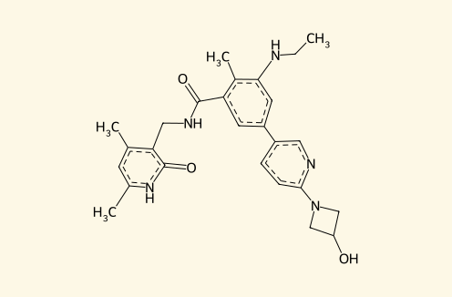 CCNc1cc(-c2ccc(N3CC(O)C3)nc2)cc(C(=O)NCc2c(C)cc(C)[nH]c2=O)c1C